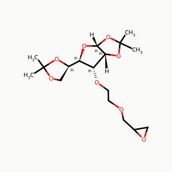 CC1(C)O[C@H]2O[C@H]([C@H]3COC(C)(C)O3)[C@@H](OCCOCC3CO3)[C@H]2O1